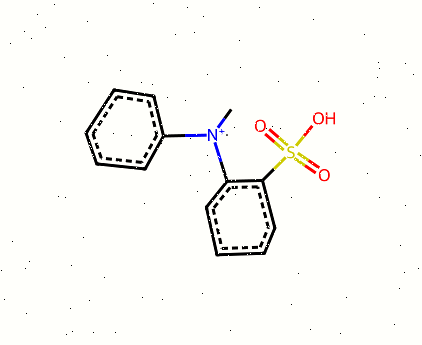 C[N+](c1ccccc1)c1ccccc1S(=O)(=O)O